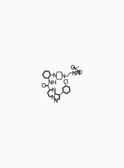 CS(=O)(=O)NCCN1CCN(c2ccccc2NC(=O)c2ccn3ncc(-c4cccc(Cl)c4)c3n2)CC1